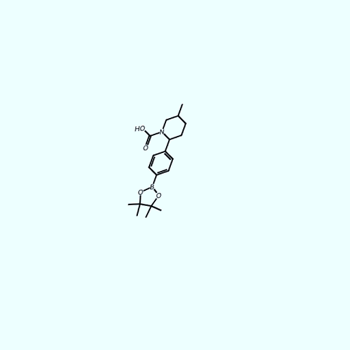 CC1CCC(c2ccc(B3OC(C)(C)C(C)(C)O3)cc2)N(C(=O)O)C1